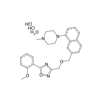 COc1ccccc1-c1nc(COCc2ccc3cccc(N4CCN(C)CC4)c3c2)no1.Cl.Cl.O